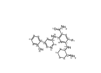 NC(=O)c1cc(F)c(N[C@@H]2CCCC[C@@H]2N)nc1Nc1cncc(-c2ccccc2O)c1